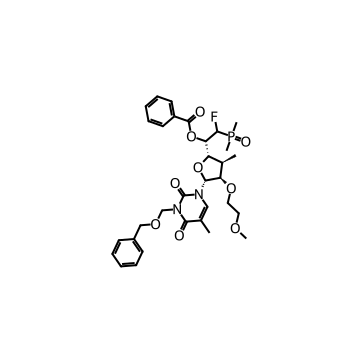 COCCO[C@@H]1[C@H](C)[C@@H](C(OC(=O)c2ccccc2)C(F)P(C)(C)=O)O[C@H]1n1cc(C)c(=O)n(COCc2ccccc2)c1=O